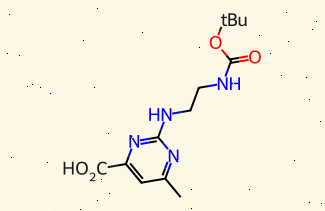 Cc1cc(C(=O)O)nc(NCCNC(=O)OC(C)(C)C)n1